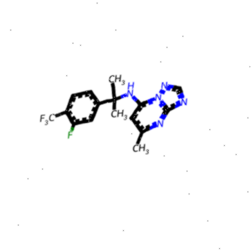 Cc1cc(NC(C)(C)c2ccc(C(F)(F)F)c(F)c2)n2ncnc2n1